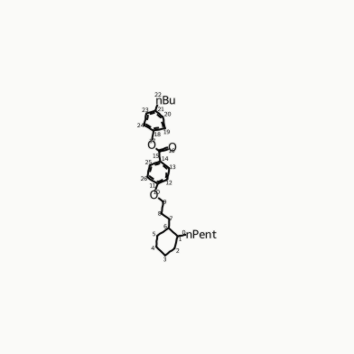 CCCCCC1CCCCC1CCCOc1ccc(C(=O)Oc2ccc(CCCC)cc2)cc1